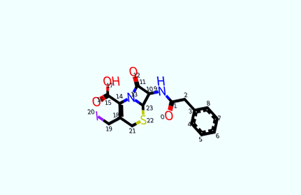 O=C(Cc1ccccc1)NC1C(=O)N2C(C(=O)O)=C(CI)CSC12